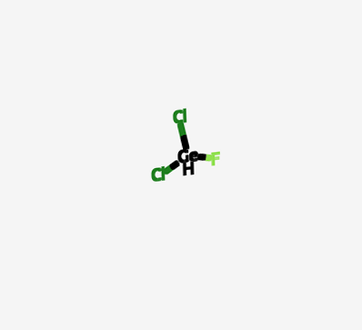 [F][GeH]([Cl])[Cl]